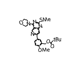 COc1ccc(-c2cc3nc(SC)nc(N4CCOCC4)c3cn2)cc1COC(=O)C(C)(C)C